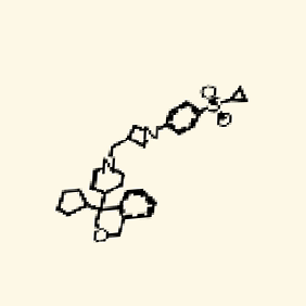 O=S(=O)(c1ccc(N2CC(CN3CCC(C4(C5CCCC5)COCc5ccccc54)CC3)C2)cc1)C1CC1